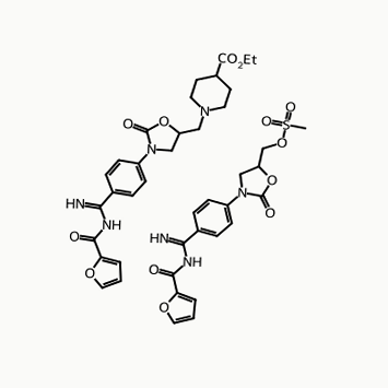 CCOC(=O)C1CCN(CC2CN(c3ccc(C(=N)NC(=O)c4ccco4)cc3)C(=O)O2)CC1.CS(=O)(=O)OCC1CN(c2ccc(C(=N)NC(=O)c3ccco3)cc2)C(=O)O1